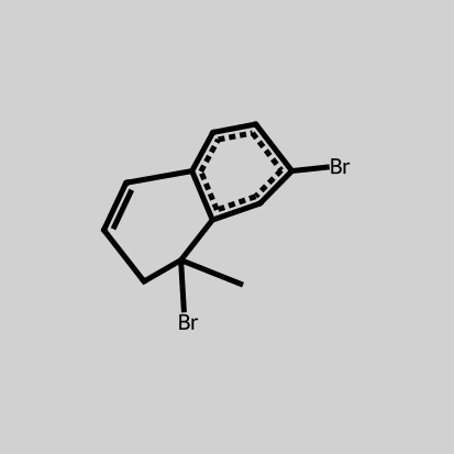 CC1(Br)CC=Cc2ccc(Br)cc21